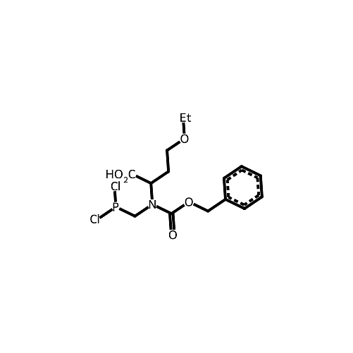 CCOCCC(C(=O)O)N(CP(Cl)Cl)C(=O)OCc1ccccc1